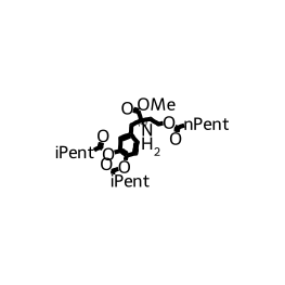 CCCCCC(=O)OCC[C@@](N)(Cc1ccc(OC(=O)C(C)CCC)c(OC(=O)C(C)CCC)c1)C(=O)OC